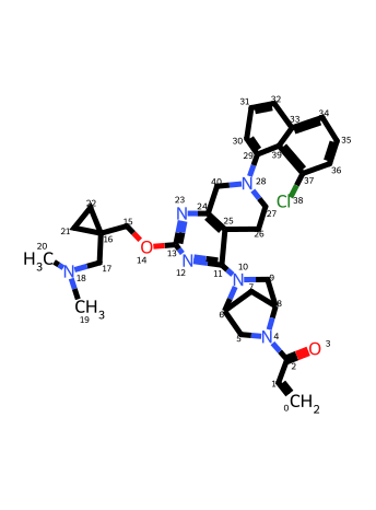 C=CC(=O)N1CC2CC1CN2c1nc(OCC2(CN(C)C)CC2)nc2c1CCN(c1cccc3cccc(Cl)c13)C2